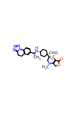 CC1=C(N(C)CC[C@]2(C=O)CC[C@@H](N[C@H](C)c3ccc4c(c3)CCc3nnnn3-4)CC2)COC1=O